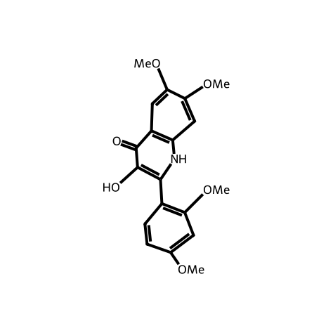 COc1ccc(-c2[nH]c3cc(OC)c(OC)cc3c(=O)c2O)c(OC)c1